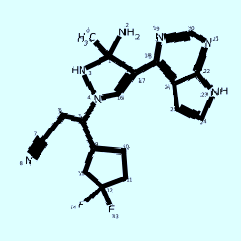 CC1(N)NN(C(CC#N)C2CCC(F)(F)C2)C=C1c1ncnc2[nH]ccc12